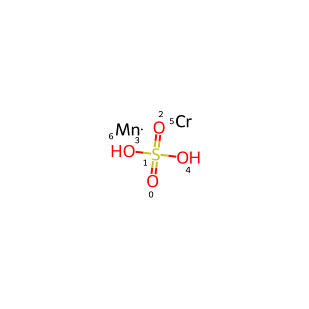 O=S(=O)(O)O.[Cr].[Mn]